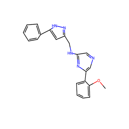 COc1ccccc1-c1cncc(NCc2cc(-c3ccccc3)[nH]n2)n1